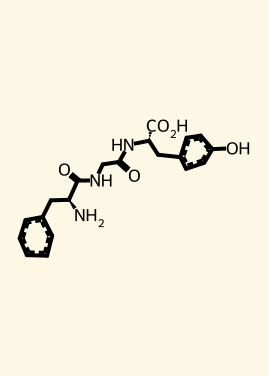 N[C@@H](Cc1ccccc1)C(=O)NCC(=O)N[C@@H](Cc1ccc(O)cc1)C(=O)O